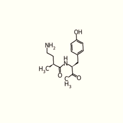 CC(=O)[C@H](Cc1ccc(O)cc1)NC(=O)[C@@H](C)CCN